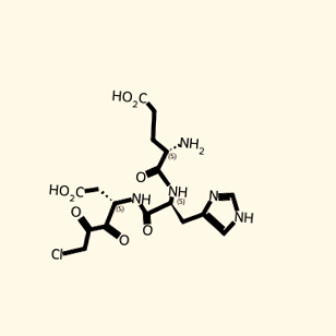 N[C@@H](CCC(=O)O)C(=O)N[C@@H](Cc1c[nH]cn1)C(=O)N[C@@H](CC(=O)O)C(=O)C(=O)CCl